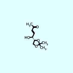 CC(=O)/C=C/C(O)[C@H]1COC(C)(C)O1